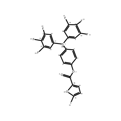 O=C(Oc1ccc([SH](c2cc(F)c(F)c(F)c2)c2cc(F)c(F)c(F)c2)cc1)c1ccc(I)o1